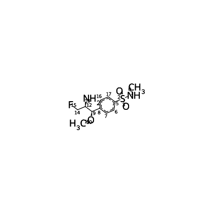 CNS(=O)(=O)c1ccc([C@@H](OC)[C@H](N)CF)cc1